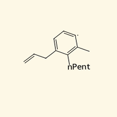 C=CCc1cc[c]c(C)c1CCCCC